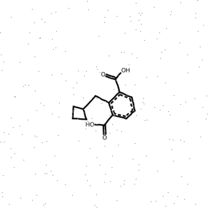 O=C(O)c1cccc(C(=O)O)c1CC1CCC1